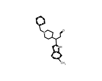 Cc1ccc2cc(C(CC=O)C3CCN(Cc4ccccc4)CC3)[nH]c2c1